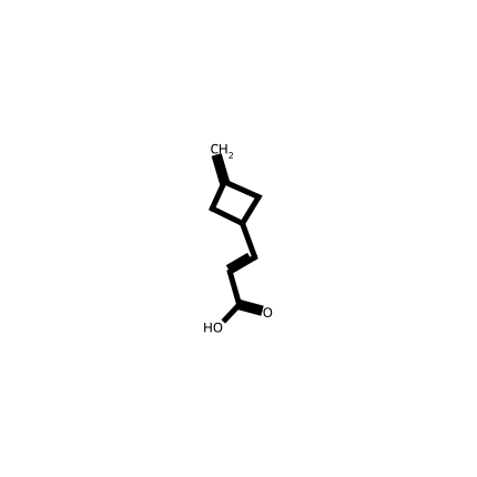 C=C1CC(C=CC(=O)O)C1